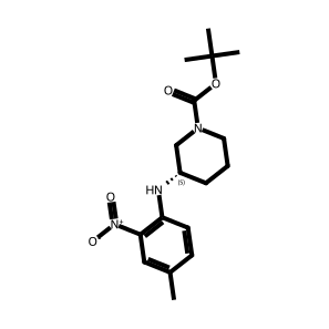 Cc1ccc(N[C@H]2CCCN(C(=O)OC(C)(C)C)C2)c([N+](=O)[O-])c1